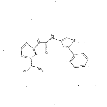 CC(C)C(N)c1cccc(NC(=O)Nc2csc(-c3ccccc3)n2)n1